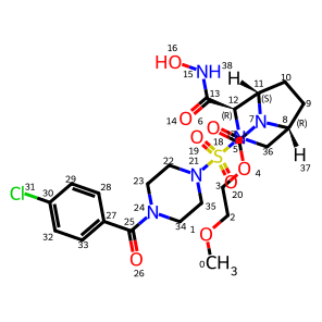 COCCOC(=O)N1[C@@H]2CC[C@H]1[C@H](C(=O)NO)N(S(=O)(=O)N1CCN(C(=O)c3ccc(Cl)cc3)CC1)C2